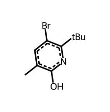 Cc1cc(Br)c(C(C)(C)C)nc1O